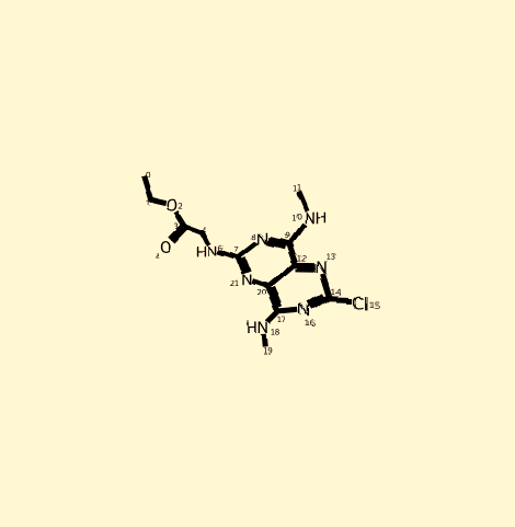 CCOC(=O)CNc1nc(NC)c2nc(Cl)nc(NC)c2n1